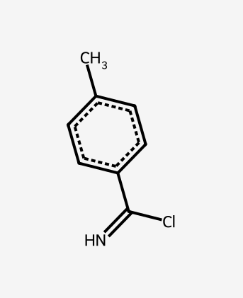 Cc1ccc(C(=N)Cl)cc1